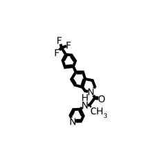 C[C@@H](Nc1ccncc1)C(=O)N1CCc2cc(-c3ccc(C(F)(F)F)cc3)ccc2C1